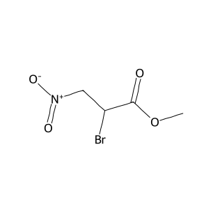 COC(=O)C(Br)C[N+](=O)[O-]